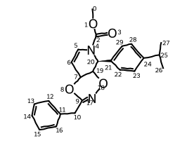 COC(=O)N1C=CC2OC(Cc3ccccc3)=NOC2[C@@H]1c1ccc(C(C)C)cc1